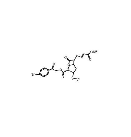 CCSC1CC2C(C/C=C/C(=O)OC)C(=O)N2C1C(=O)OCC(=O)c1ccc(Br)cc1